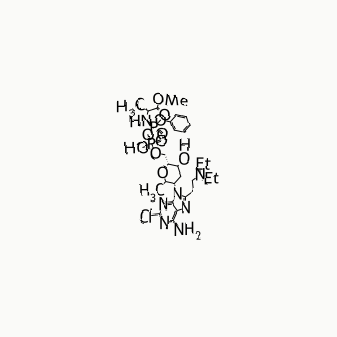 CCN(CC)CCc1nc2c(N)nc(Cl)nc2n1[C@H]1C[C@@H](O)[C@@H](COP(=O)(O)OP(=O)(N[C@@H](C)C(=O)OC)Oc2ccccc2)OC1C